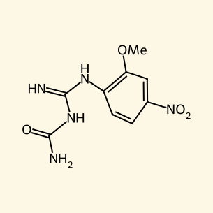 COc1cc([N+](=O)[O-])ccc1NC(=N)NC(N)=O